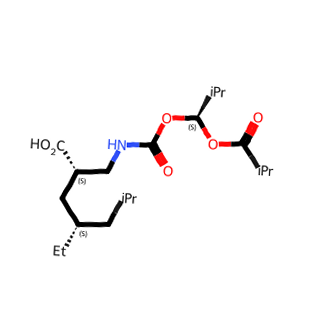 CC[C@@H](CC(C)C)C[C@@H](CNC(=O)O[C@H](OC(=O)C(C)C)C(C)C)C(=O)O